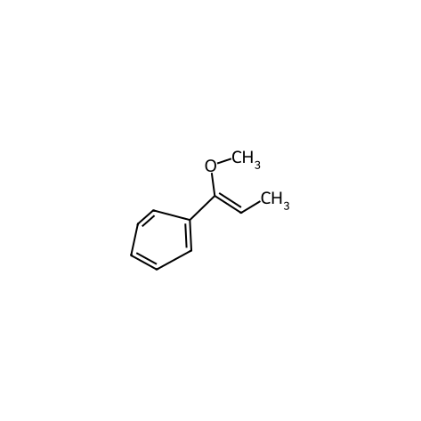 CC=C(OC)c1ccccc1